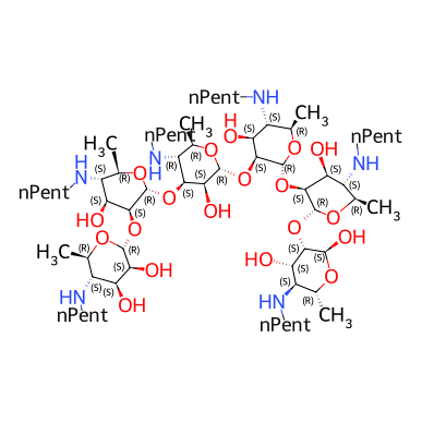 CCCCCN[C@H]1[C@H](O)[C@H](O)[C@@H](O[C@@H]2[C@@H](O[C@@H]3[C@H](O)[C@@H](O[C@@H]4[C@@H](O[C@@H]5[C@@H](O[C@H]6[C@@H](O)[C@H](NCCCCC)[C@@H](C)O[C@@H]6O)O[C@H](C)[C@@H](NCCCCC)[C@@H]5O)O[C@H](C)[C@@H](NCCCCC)[C@@H]4O)O[C@H](C)[C@H]3NCCCCC)O[C@H](C)[C@@H](NCCCCC)[C@@H]2O)O[C@@H]1C